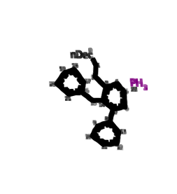 CCCCCCCCCCCCc1cccc(-c2ccccc2)c1Cc1ccccc1.P